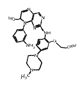 COCOc1cc(N2CCN(C)CC2)ccc1Nc1ncc2c(n1)N(c1cccc(N)c1)C(O)C=N2